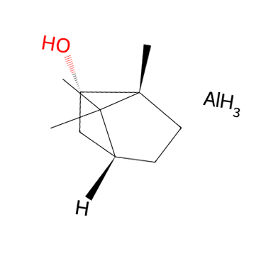 CC1(C)[C@@H]2CC[C@@]1(C)[C@@H](O)C2.[AlH3]